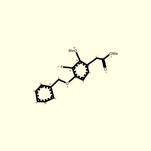 COC(=O)Cc1ccc(OCc2ccccc2)c(F)c1OC